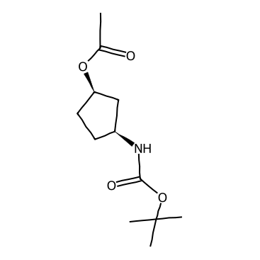 CC(=O)O[C@@H]1CC[C@H](NC(=O)OC(C)(C)C)C1